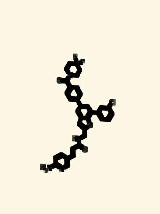 Nc1ccc(C=CC(=O)NCc2cc3cc(-c4ccc(C(=O)N5CCC(F)(F)CC5)cc4)cc(-c4cccc(Cl)c4)c3o2)cn1